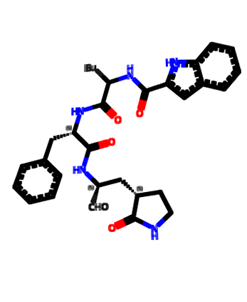 CCC(C)C(NC(=O)c1cc2ccccc2[nH]1)C(=O)N[C@@H](Cc1ccccc1)C(=O)N[C@H](C=O)C[C@@H]1CCNC1=O